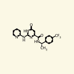 C[C@@H](NC(=O)c1cc(=O)[nH]c(Nc2ccccn2)n1)c1ccc(C(F)(F)F)cc1